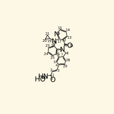 O=C(C=Cc1ccc(CN2C(=O)c3cccnc3N(C3CC3)c3ccccc32)cc1)NO